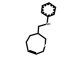 C1=CCCC(CNc2ccccc2)CCC1